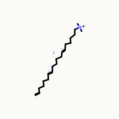 C=CCCCC/C=C/CCCC/C=C/CCCCC[N+](C)(C)C.[I-]